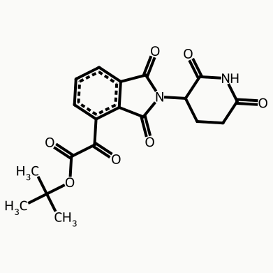 CC(C)(C)OC(=O)C(=O)c1cccc2c1C(=O)N(C1CCC(=O)NC1=O)C2=O